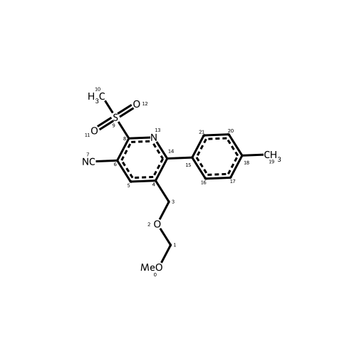 COCOCc1cc(C#N)c(S(C)(=O)=O)nc1-c1ccc(C)cc1